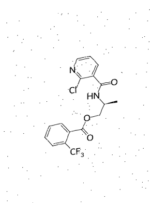 C[C@@H](COC(=O)c1ccccc1C(F)(F)F)NC(=O)c1cccnc1Cl